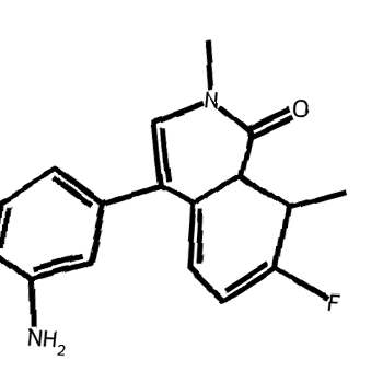 CC1C(F)=CC=C2C(c3cccc(N)c3)=CN(C)C(=O)C21